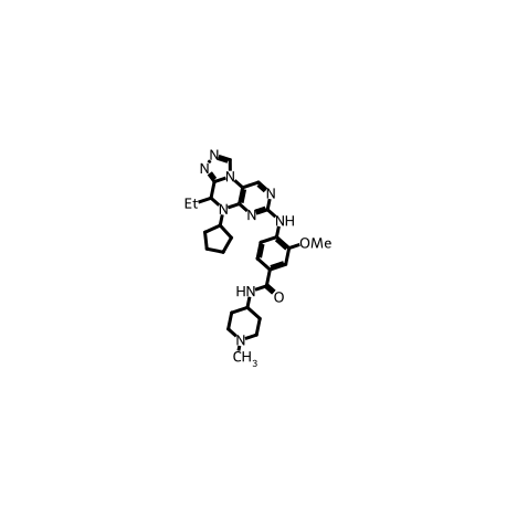 CCC1c2nncn2-c2cnc(Nc3ccc(C(=O)NC4CCN(C)CC4)cc3OC)nc2N1C1CCCC1